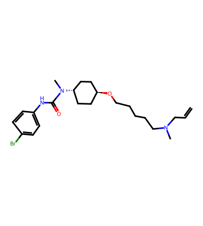 C=CCN(C)CCCCCO[C@H]1CC[C@H](N(C)C(=O)Nc2ccc(Br)cc2)CC1